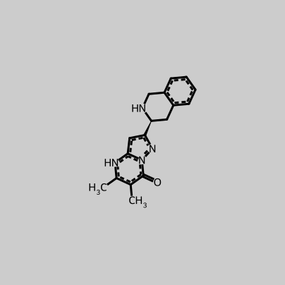 Cc1[nH]c2cc([C@@H]3Cc4ccccc4CN3)nn2c(=O)c1C